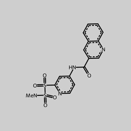 CNS(=O)(=O)S(=O)(=O)c1cc(NC(=O)c2cnc3ccccc3c2)ccn1